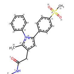 CNC(=O)Cc1cc(-c2ccc(S(C)(=O)=O)cc2)n(-c2ccccc2)c1C